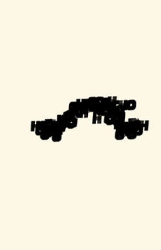 CC[C@@]1(O)C(=O)OCc2c1cc1n(c2=O)Cc2c-1nc1ccc(NC(=O)C(C)=N[C@@H](CC(=O)N[C@H](C=O)CC(C)C(CC=O)Nc3ccc4nc5c(c6c4c3CCC6)Cn3c-5cc4c(c3=O)COC(=O)[C@]4(O)CC)NC(=O)O)c3c1c2CCC3